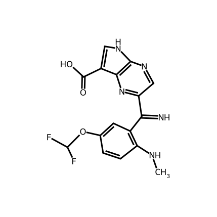 CNc1ccc(OC(F)F)cc1C(=N)c1cnc2[nH]cc(C(=O)O)c2n1